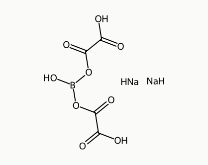 O=C(O)C(=O)OB(O)OC(=O)C(=O)O.[NaH].[NaH]